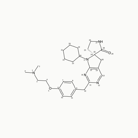 CN(C)CCOc1ccc(Cc2ncc3c(n2)N(C2CCCCC2)[C@]2(CCNC2=O)C3)cc1